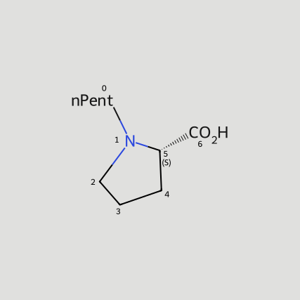 CCCCCN1CCC[C@H]1C(=O)O